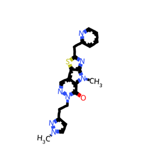 Cn1ccc(CCn2ncc3c4sc(Cc5ccccn5)nc4n(C)c3c2=O)n1